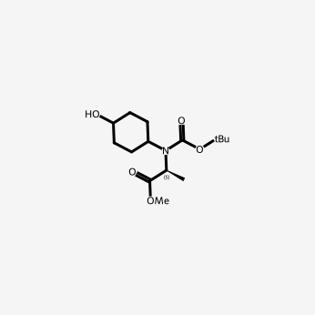 COC(=O)[C@H](C)N(C(=O)OC(C)(C)C)C1CCC(O)CC1